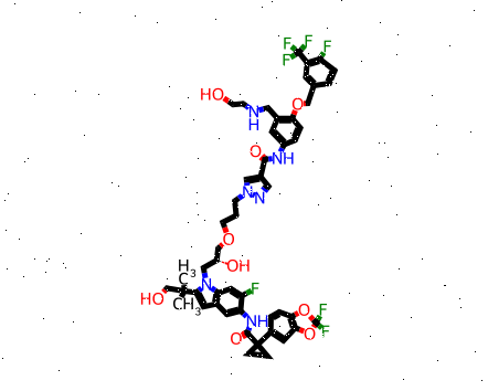 CC(C)(CO)c1cc2cc(NC(=O)C3(c4ccc5c(c4)OC(F)(F)O5)CC3)c(F)cc2n1C[C@@H](O)COCCCn1cc(C(=O)Nc2ccc(OCc3ccc(F)c(C(F)(F)F)c3)c(CNCCO)c2)cn1